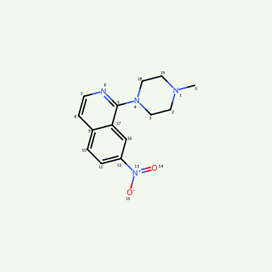 CN1CCN(c2nccc3ccc([N+](=O)[O-])cc23)CC1